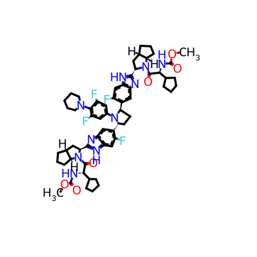 COC(=O)N[C@H](C(=O)N1[C@H](c2nc3cc([C@H]4CC[C@H](c5cc6nc([C@@H]7C[C@@H]8CCC[C@@H]8N7C(=O)[C@@H](NC(=O)OC)C7CCCC7)[nH]c6cc5F)N4c4cc(F)c(N5CCCCC5)c(F)c4)c(F)cc3[nH]2)C[C@@H]2CCC[C@@H]21)C1CCCC1